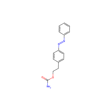 NC(=O)OCCc1ccc(N=Nc2ccccc2)cc1